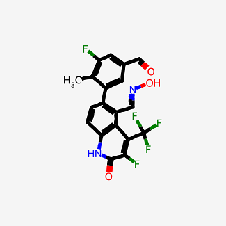 Cc1c(F)cc(C=O)cc1-c1ccc2[nH]c(=O)c(F)c(C(F)(F)F)c2c1C=NO